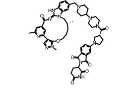 Cc1cc2cc(n1)-c1cnn(C)c1OCCC[C@@H](C)CN1/C(=N/C2=O)Nc2ccc(CN3CCC(N4CCN(C(=O)[C@H]5CCN(c6ccc7c(c6)C(=O)N(C6CCC(=O)NC6=O)C7=O)C5)CC4)CC3)cc21